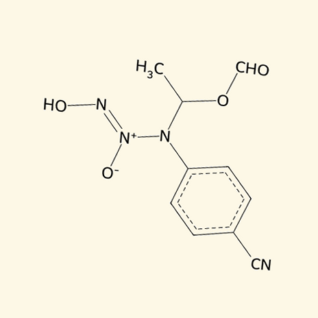 CC(OC=O)N(c1ccc(C#N)cc1)/[N+]([O-])=N/O